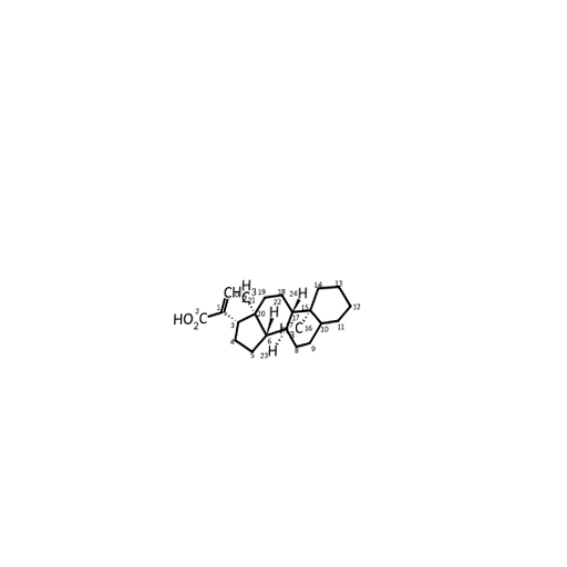 C=C(C(=O)O)[C@H]1CC[C@H]2[C@@H]3CCC4CCCC[C@]4(C)[C@H]3CC[C@]12C